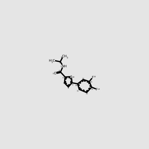 CC(C)NC(=O)c1ccc(-c2ccc(F)c(F)c2)s1